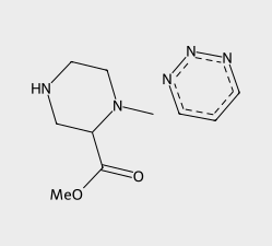 COC(=O)C1CNCCN1C.c1cnnnc1